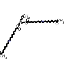 COCCN(CCOC(=O)CCCCCCC/C=C/CCCCCCCC(C)=O)CCOC(=O)CCCCCCC/C=C/CCCCCCCC(C)=O